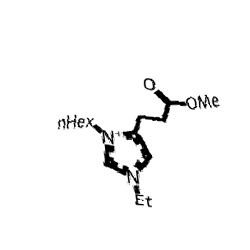 CCCCCC[n+]1cn(CC)cc1CCC(=O)OC